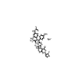 CO[C@@]1(NC(=O)C(c2ccc(O)cc2)N(C(N)=O)c2cnc(NC(C)C)nc2O)C(=O)N2C(C(=O)[O-])=C(CSc3nnnn3C)CS[C@H]21.[Na+]